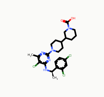 Cc1nc(N2CCC(C3CCCN(C(=O)O)C3)CC2)nc(N[C@H](C)c2ccc(Cl)cc2Cl)c1Cl